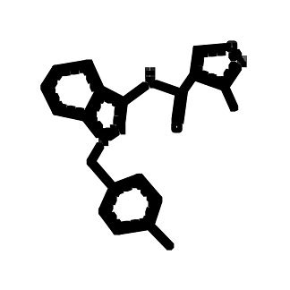 Cc1ccc(Cn2nc(NC(=O)c3conc3C)c3ccccc32)cc1